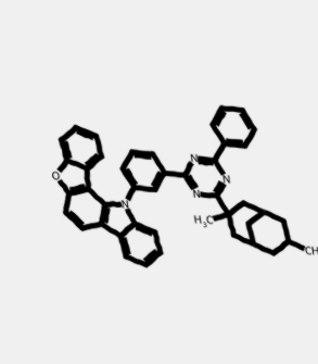 CC1CC2CC(C1)CC(C)(c1nc(-c3ccccc3)nc(-c3cccc(-n4c5ccccc5c5ccc6oc7ccccc7c6c54)c3)n1)C2